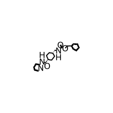 O=C(NC[C@H]1CC[C@H](C(=O)Nc2ccccn2)CC1)OCc1ccccc1